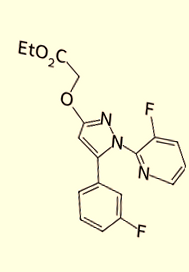 CCOC(=O)COc1cc(-c2cccc(F)c2)n(-c2ncccc2F)n1